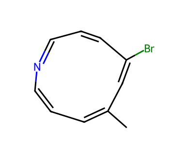 Cc1cccncccc(Br)c1